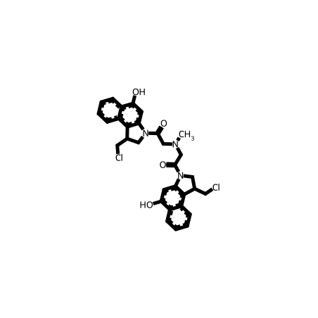 CN(CC(=O)N1CC(CCl)c2c1cc(O)c1ccccc21)CC(=O)N1CC(CCl)c2c1cc(O)c1ccccc21